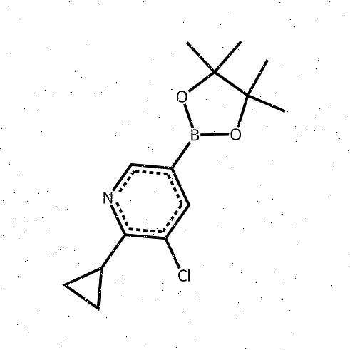 CC1(C)OB(c2cnc(C3CC3)c(Cl)c2)OC1(C)C